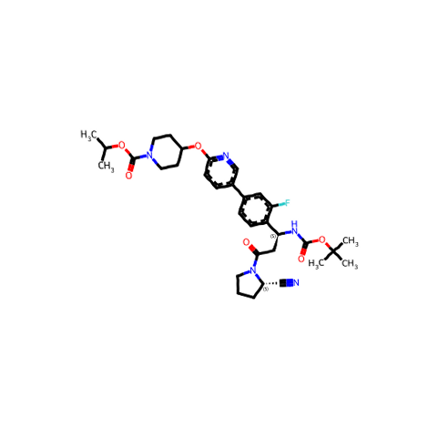 CC(C)OC(=O)N1CCC(Oc2ccc(-c3ccc([C@H](CC(=O)N4CCC[C@H]4C#N)NC(=O)OC(C)(C)C)c(F)c3)cn2)CC1